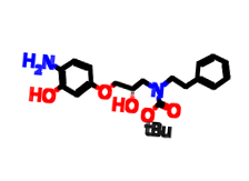 CC(C)(C)OC(=O)N(CCc1ccccc1)C[C@H](O)COc1ccc(N)c(O)c1